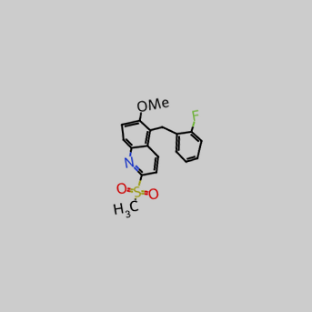 COc1ccc2nc(S(C)(=O)=O)ccc2c1Cc1ccccc1F